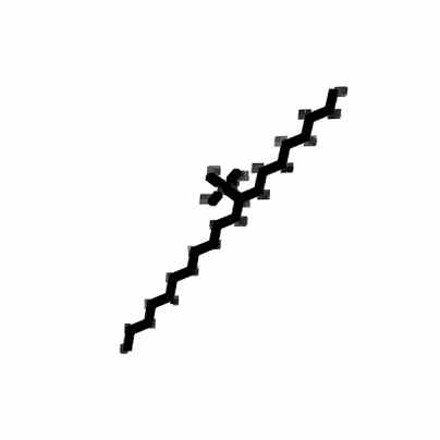 CCCCCCCCCCCC(CCCCCCCC)[N+](C)(C)C